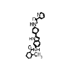 CC1CCCCC1C(=O)Nc1ccc2cc(-c3ccc(NCC(=O)c4ccccn4)cc3)[nH]c2c1